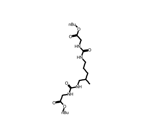 CCCCOC(=O)CNC(=O)NCCCC(C)CNC(=O)NCC(=O)OCCCC